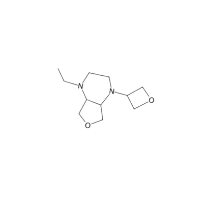 CCN1CCN(C2COC2)C2COCC21